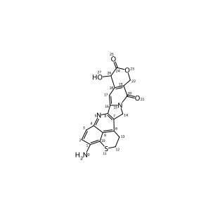 Nc1ccc2nc3c(c4c2c1SCC4)Cn1c-3cc2c(c1=O)COC(=O)C2O